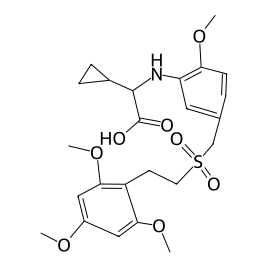 COc1cc(OC)c(CCS(=O)(=O)Cc2ccc(OC)c(NC(C(=O)O)C3CC3)c2)c(OC)c1